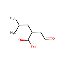 CC(C)CC(CC=O)C(=O)O